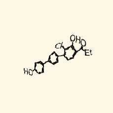 CCC(=O)c1ccc(-c2ccc(-c3ccc(O)cc3)cc2)c(Cl)c1O